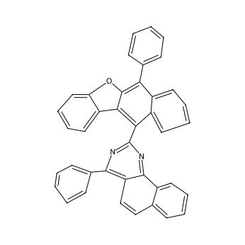 c1ccc(-c2nc(-c3c4ccccc4c(-c4ccccc4)c4oc5ccccc5c34)nc3c2ccc2ccccc23)cc1